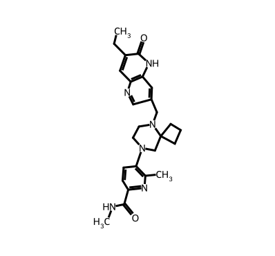 CCc1cc2ncc(CN3CCN(c4ccc(C(=O)NC)nc4C)CC34CCC4)cc2[nH]c1=O